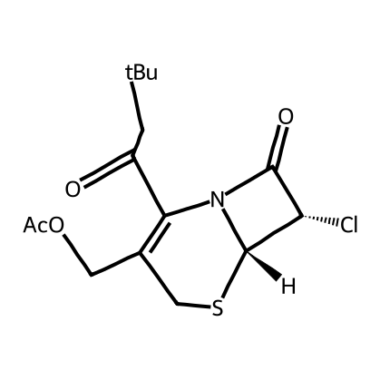 CC(=O)OCC1=C(C(=O)CC(C)(C)C)N2C(=O)[C@H](Cl)[C@@H]2SC1